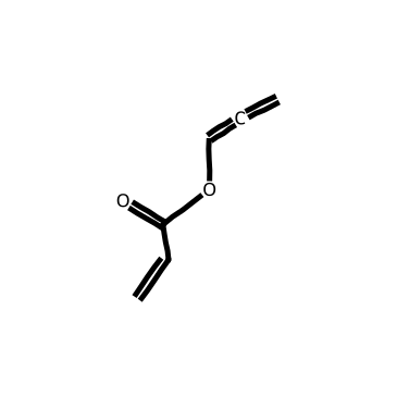 C=C=COC(=O)C=C